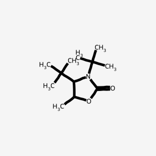 CC1OC(=O)N(C(C)(C)C)C1C(C)(C)C